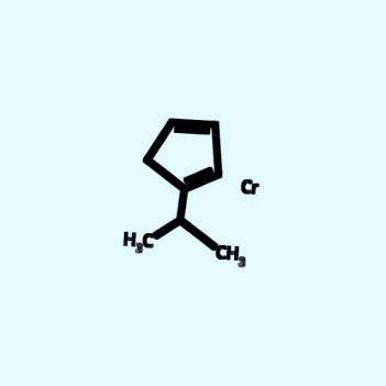 CC(C)C1=CC=CC1.[Cr]